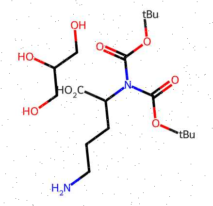 CC(C)(C)OC(=O)N(C(=O)OC(C)(C)C)C(CCCN)C(=O)O.OCC(O)CO